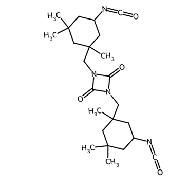 CC1(C)CC(N=C=O)CC(C)(CN2C(=O)N(CC3(C)CC(N=C=O)CC(C)(C)C3)C2=O)C1